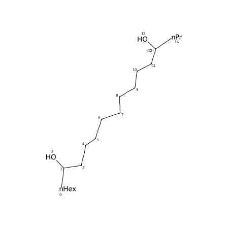 CCCCCCC(O)CCCCCCCCCC(O)CCC